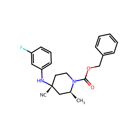 C[C@H]1C[C@](C#N)(Nc2cccc(F)c2)CCN1C(=O)OCc1ccccc1